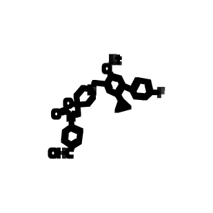 CCOc1cc(-c2ccc(F)cc2)c(C2CC2)cc1CN1CCC2(CC1)CN(c1ccc(C=O)cc1)C(=O)O2